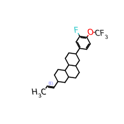 C/C=C/C1CCC2C(CCC3CC(c4ccc(OC(F)(F)F)c(F)c4)CCC32)C1